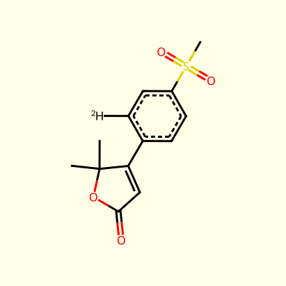 [2H]c1cc(S(C)(=O)=O)ccc1C1=CC(=O)OC1(C)C